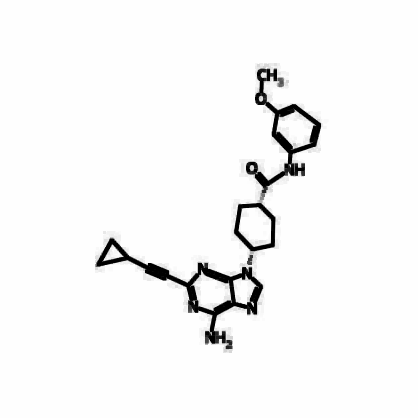 COc1cccc(NC(=O)[C@H]2CC[C@@H](n3cnc4c(N)nc(C#CC5CC5)nc43)CC2)c1